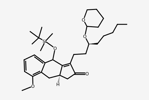 CCCCC[C@@H](CCC1=C2C(O[Si](C)(C)C(C)(C)C)c3cccc(OC)c3C[C@@H]2CC1=O)OC1CCCCO1